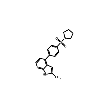 Cc1cc2c(-c3ccc(S(=O)(=O)N4CCCC4)cc3)ccnc2[nH]1